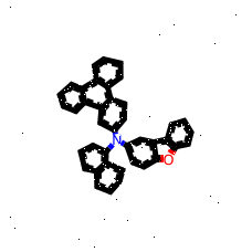 c1ccc2c(N(c3ccc4oc5ccccc5c4c3)c3ccc4c5ccccc5c5ccccc5c4c3)cccc2c1